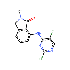 CCN1Cc2cccc(Nc3nc(Cl)ncc3Cl)c2C1=O